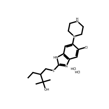 CCC(CSc1nc2cc(Cl)c(N3CCNCC3)cc2[nH]1)C(C)(C)O.Cl.Cl